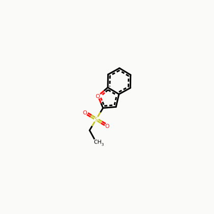 CCS(=O)(=O)c1cc2ccccc2o1